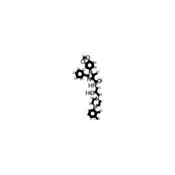 Cc1cccc(N2CCN(CC(O)CNC(=O)c3nc(-c4ccccc4)n(-c4ccc5c(c4)OCO5)c3C)CC2)c1C